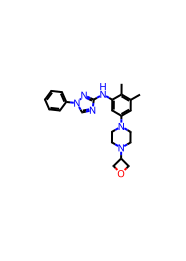 Cc1cc(N2CCN(C3COC3)CC2)cc(Nc2ncn(-c3ccccc3)n2)c1C